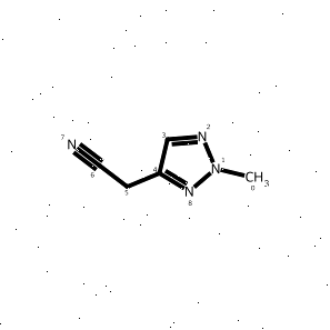 Cn1ncc(CC#N)n1